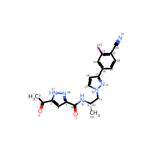 CC(=O)c1cc(C(=O)N[C@@H](C)Cn2ccc(-c3ccc(C#N)c(I)c3)n2)n[nH]1